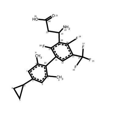 Cc1cc(C2CC2)cc(C)c1-c1cc(C(F)(F)F)c(F)c(C(N)CC(=O)O)c1F